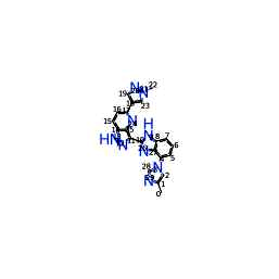 Cc1cn(-c2cccc3[nH]c(-c4n[nH]c5ccc(-c6cnn(C)c6)nc45)nc23)cn1